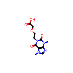 Cn1cnc2c1c(=O)n(CCOCC(=O)O)c(=O)n2C